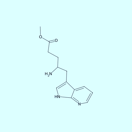 COC(=O)CCC(N)Cc1c[nH]c2ncccc12